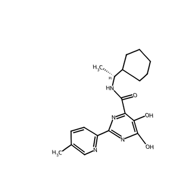 Cc1ccc(-c2nc(O)c(O)c(C(=O)N[C@H](C)C3CCCCC3)n2)nc1